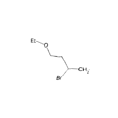 [CH2]C(Br)CCOCC